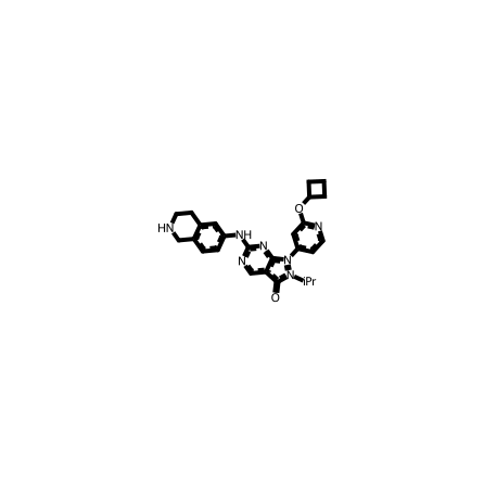 CC(C)n1c(=O)c2cnc(Nc3ccc4c(c3)CCNC4)nc2n1-c1ccnc(OC2CCC2)c1